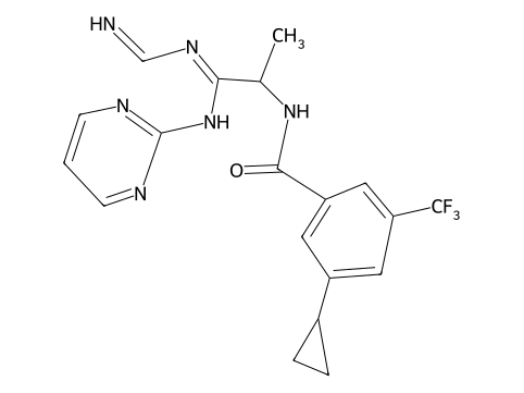 CC(NC(=O)c1cc(C2CC2)cc(C(F)(F)F)c1)/C(=N/C=N)Nc1ncccn1